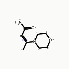 C/C(=C/C(N)=O)N1CCOCC1